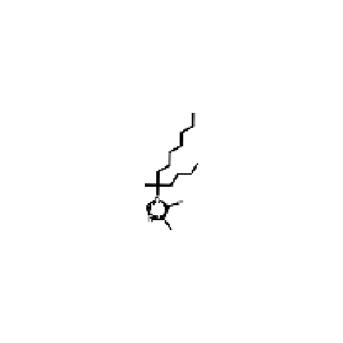 CCCCCCCC(C)(CCCC)n1cnc(C)c1F